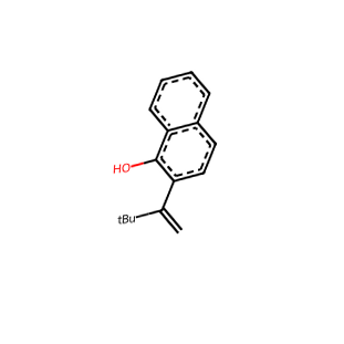 C=C(c1ccc2ccccc2c1O)C(C)(C)C